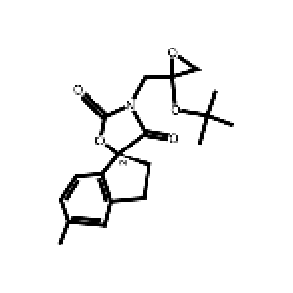 Cc1ccc2c(c1)CC[C@]21OC(=O)N(CC2(OC(C)(C)C)CO2)C1=O